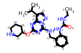 CCNC(=O)Nc1ccccc1CNc1nc(OC2CCCNC2)nc2c(C(C)C)cnn12